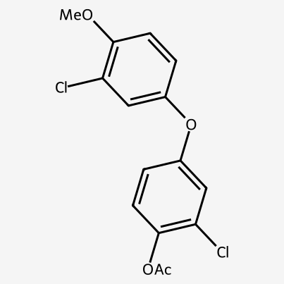 COc1ccc(Oc2ccc(OC(C)=O)c(Cl)c2)cc1Cl